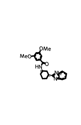 COc1cc(OC)cc(C(=O)N[C@H]2CCC[C@H](c3nc4ccccc4[nH]3)C2)c1